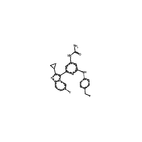 NC(=O)Nc1cc(Nc2ccc(CF)cc2)nc(-c2c(C3CC3)nc3ccc(F)cn23)c1